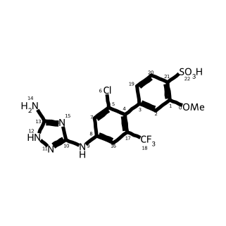 COc1cc(-c2c(Cl)cc(Nc3n[nH]c(N)n3)cc2C(F)(F)F)ccc1S(=O)(=O)O